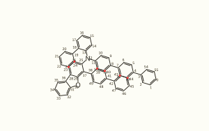 c1ccc(-c2ccc(-c3ccc(N(c4ccccc4-c4ccccc4)c4ccc5c(oc6ccccc65)c4-c4ccc(-c5ccccc5)cc4)cc3)cc2)cc1